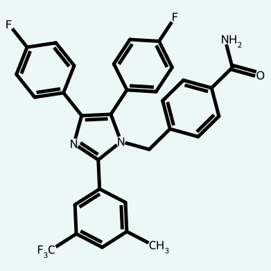 Cc1cc(-c2nc(-c3ccc(F)cc3)c(-c3ccc(F)cc3)n2Cc2ccc(C(N)=O)cc2)cc(C(F)(F)F)c1